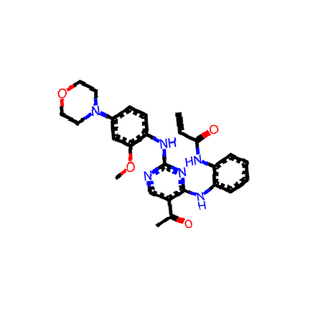 C=CC(=O)Nc1ccccc1Nc1nc(Nc2ccc(N3CCOCC3)cc2OC)ncc1C(C)=O